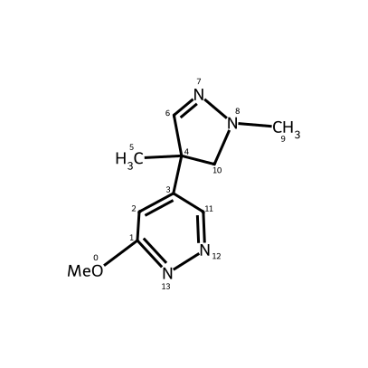 COc1cc(C2(C)C=NN(C)C2)cnn1